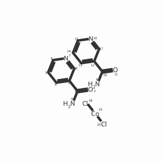 NC(=O)c1cccnc1.NC(=O)c1cccnc1.[Cl][Co][Cl]